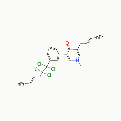 CCCC=CCc1cn(C)cc(-c2cccc(C(Cl)(Cl)C(Cl)(Cl)CC=CCCC)c2)c1=O